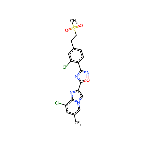 CS(=O)(=O)CCc1ccc(-c2noc(-c3cn4cc(C(F)(F)F)cc(Cl)c4n3)n2)c(Cl)c1